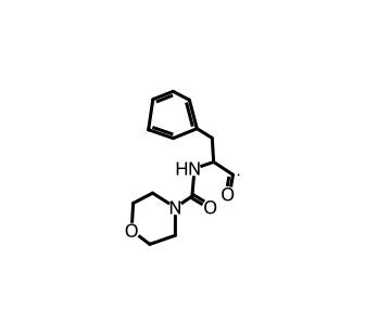 O=[C]C(Cc1ccccc1)NC(=O)N1CCOCC1